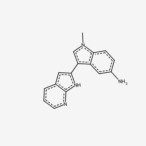 Cn1cc(-c2cc3cccnc3[nH]2)c2cc(N)ccc21